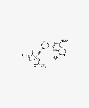 CNc1nc(-c2cccc(C#C[C@]3(OC(=O)C(F)(F)F)CCN(C)C3=O)c2)nc2c(N)nccc12